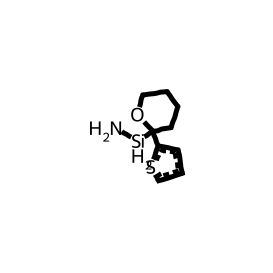 N[SiH2]C1(c2cccs2)CCCCO1